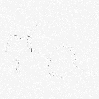 O=c1ssc(=S)n1-c1ccc(Cl)cc1